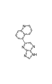 c1cc(-c2cnc3[nH]cnc3n2)c2cccnc2c1